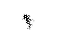 Cn1c(=O)c(-c2c(Cl)cccc2Cl)cc2cnc(NCCO)nc21